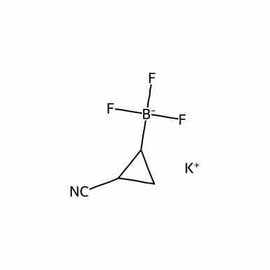 N#CC1CC1[B-](F)(F)F.[K+]